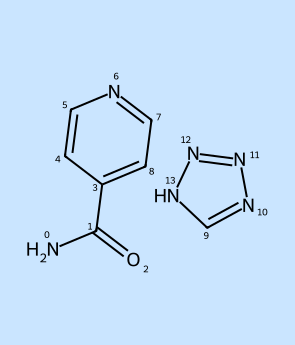 NC(=O)c1ccncc1.c1nnn[nH]1